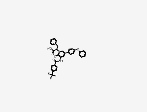 O=C(Nc1cc(-c2ccc(Oc3ccccc3)cc2)cn(C(Cc2ccccc2)C(=O)O)c1=O)c1ccc(C(F)(F)F)cc1